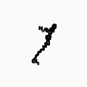 CCCCCCCCCCCCOc1ccc(C=Cc2nc3ccccc3cc2OC)cc1